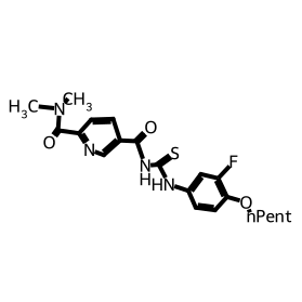 CCCCCOc1ccc(NC(=S)NC(=O)c2ccc(C(=O)N(C)C)nc2)cc1F